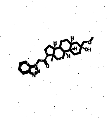 COC[C@@]1(O)CC[C@H]2[C@@H](CCC3[C@@H]2CC[C@]2(C)[C@@H](C(=O)Cn4nnc5ccccc54)CC[C@@H]32)C1